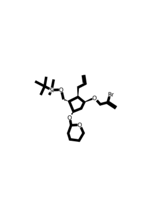 C=CC[C@@H]1[C@@H](CO[Si](C)(C)C(C)(C)C)[C@@H](OC2CCCCO2)C[C@@H]1OCC(=C)Br